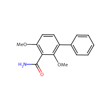 COc1ccc(-c2ccccc2)c(OC)c1C(N)=O